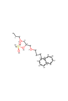 CCCOCC(COCCCc1cccc2ccccc12)OS(C)(=O)=O